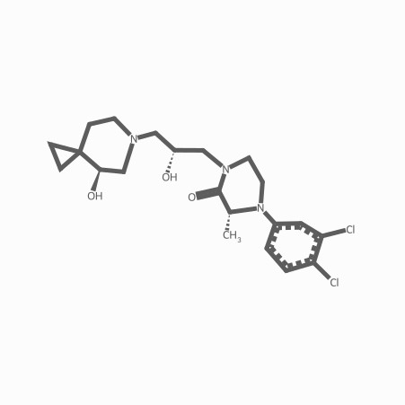 C[C@@H]1C(=O)N(C[C@H](O)CN2CCC3(CC3)[C@H](O)C2)CCN1c1ccc(Cl)c(Cl)c1